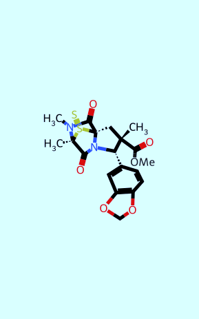 COC(=O)[C@@]1(C)C[C@]23C(=O)N(C)[C@](C)(C(=O)N2[C@H]1c1ccc2c(c1)OCO2)S3=S